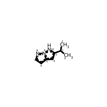 CC(C)c1cc2ccnn2[nH]1